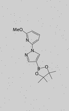 COc1cccc(-n2cc(B3OC(C)(C)C(C)(C)O3)cn2)n1